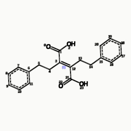 O=C(O)/C(CCc1ccccc1)=C(\CCc1ccccc1)C(=O)O